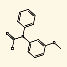 COc1cccc(N(C(=O)Cl)c2ccccc2)c1